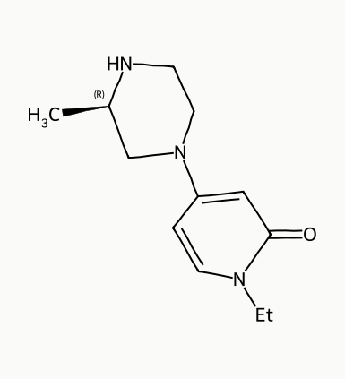 CCn1ccc(N2CCN[C@H](C)C2)cc1=O